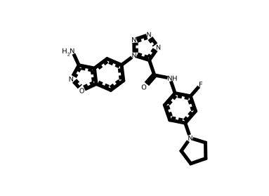 Nc1noc2ccc(-n3nnnc3C(=O)Nc3ccc(N4CCCC4)cc3F)cc12